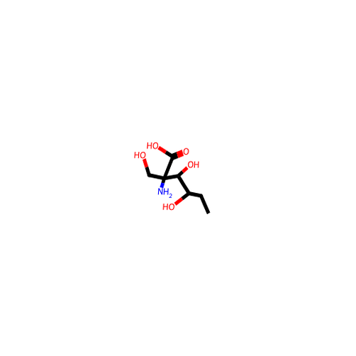 CCC(O)C(O)C(N)(CO)C(=O)O